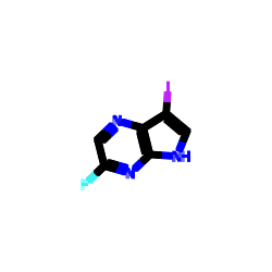 Fc1cnc2c(I)c[nH]c2n1